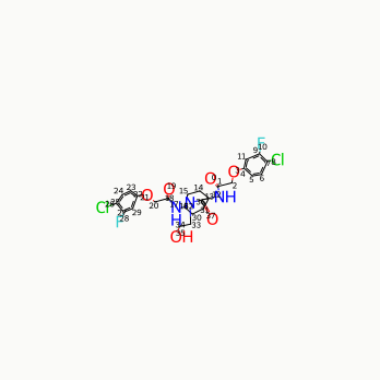 O=C(COc1ccc(Cl)c(F)c1)NC12CCC(NC(=O)COc3ccc(Cl)c(F)c3)(CC1)N(CCO)C2=O